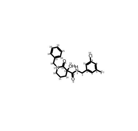 O=C(NCc1cc(F)cc(Cl)c1)C1(O)CCCN(Cc2ccccc2)C1=O